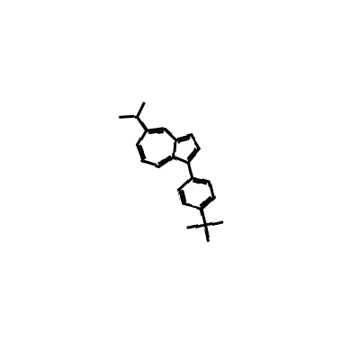 CC(C)c1cccc2c(-c3ccc(C(C)(C)C)cc3)ccc-2c1